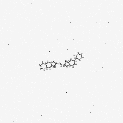 C(=Cc1cc2cc3ccccc3cc2s1)c1cc2ccc(-c3ccccc3)cc2s1